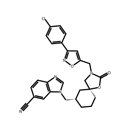 N#Cc1ccc2ncn(C[C@H]3CCC[C@]4(C3)CN(Cc3cc(-c5ccc(Cl)cc5)no3)C(=O)O4)c2c1